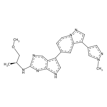 COC[C@H](C)Nc1ncc2c(-c3ccn4ncc(-c5cnn(C)c5)c4c3)c[nH]c2n1